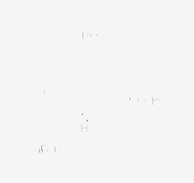 CCCCC(=O)N[C@@](C)(CO)C(=O)O